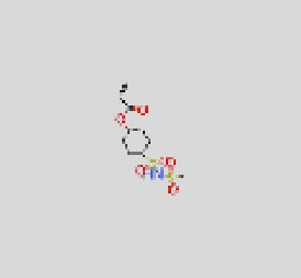 C=CC(=O)OC1CCC(S(=O)(=O)NS(C)(=O)=O)CC1